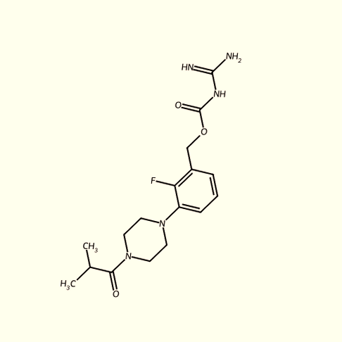 CC(C)C(=O)N1CCN(c2cccc(COC(=O)NC(=N)N)c2F)CC1